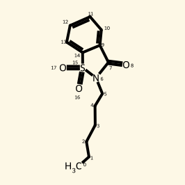 CCCCCCN1C(=O)c2ccccc2S1(=O)=O